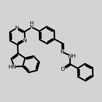 O=C(NN=Cc1ccc(Nc2nccc(-c3c[nH]c4ccccc34)n2)cc1)c1ccccc1